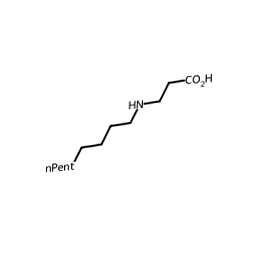 CCCCCCCCCNCCC(=O)O